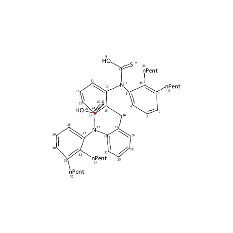 CCCCCc1cccc(N(C(O)=S)c2ccccc2Cc2ccccc2N(C(O)=S)c2cccc(CCCCC)c2CCCCC)c1CCCCC